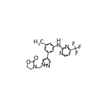 Cc1cc(Nc2nccc(C(F)(F)F)n2)cc(-c2cnn(CN3CCOC3=O)c2)c1